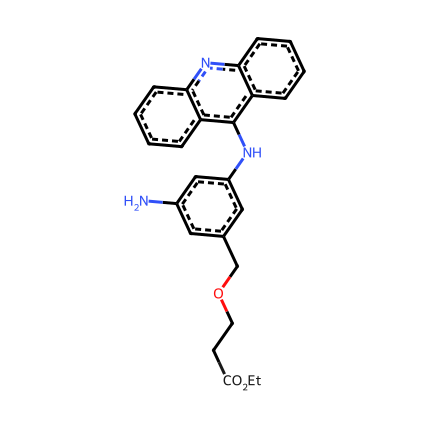 CCOC(=O)CCOCc1cc(N)cc(Nc2c3ccccc3nc3ccccc23)c1